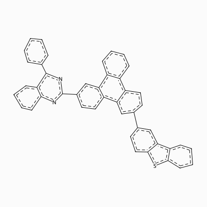 c1ccc(-c2nc(-c3ccc4c5cc(-c6ccc7sc8ccccc8c7c6)ccc5c5ccccc5c4c3)nc3ccccc23)cc1